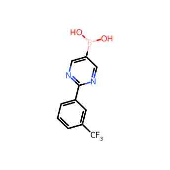 OB(O)c1cnc(-c2cccc(C(F)(F)F)c2)nc1